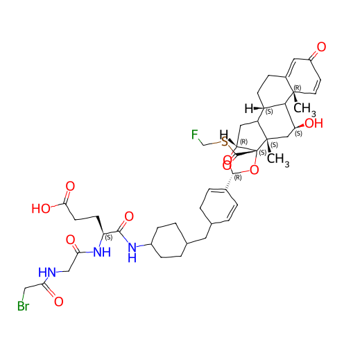 C[C@]12C=CC(=O)C=C1CC[C@@H]1C2[C@@H](O)C[C@@]2(C)C1C[C@H]1O[C@@H](C3=CCC(CC4CCC(NC(=O)[C@H](CCC(=O)O)NC(=O)CNC(=O)CBr)CC4)C=C3)O[C@]12C(=O)SCF